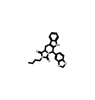 CCCCN1C(=O)C2Cc3c([nH]c4ccccc34)C(c3ccc4c(c3)OCO4)N2C1=O